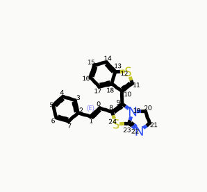 C(=C\c1ccccc1)/C1=C(c2csc3ccccc23)N2CCN=C2S1